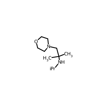 CC(C)NC(C)(C)CN1CCOCC1